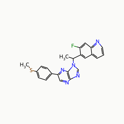 CSc1ccc(-c2cnc3ncn(C(C)c4cc5cccnc5cc4F)c3n2)cc1